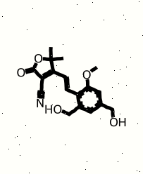 COc1cc(CO)cc(CO)c1/C=C/C1=C(C#N)C(=O)OC1(C)C